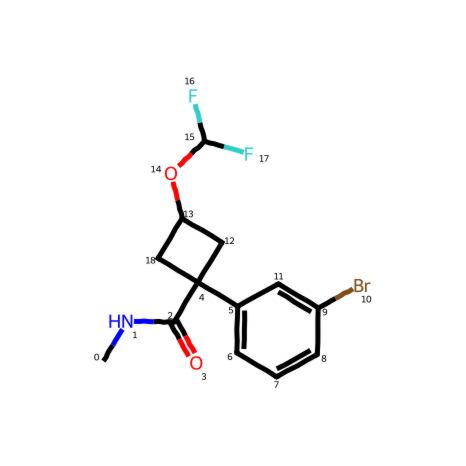 CNC(=O)C1(c2cccc(Br)c2)CC(OC(F)F)C1